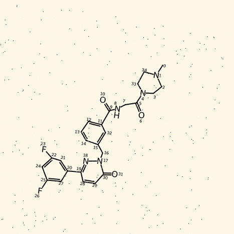 CN1CCN(C(=O)CNC(=O)c2cccc(Cn3nc(-c4cc(F)cc(F)c4)ccc3=O)c2)CC1